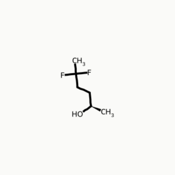 C[C@@H](O)CCC(C)(F)F